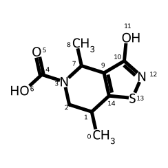 CC1CN(C(=O)O)C(C)c2c(O)nsc21